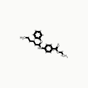 CCCCCC(Nc1ccc(C(=O)OCC)cc1)Oc1ccccc1